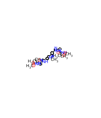 COC(=O)NC(C(=O)N1CCC[C@H]1c1ncc(-c2ccc3c(c2)cc2c4ccc(-c5cnc([C@H]6CCCN6C(=O)[C@@H](NC(=O)OC)C(C)C)[nH]5)cc4nc(C)n32)[nH]1)C(C)C